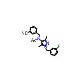 CC(=O)N(Cc1cccc(C#N)c1)c1c(C)nn(Cc2cccc(F)c2)c1C